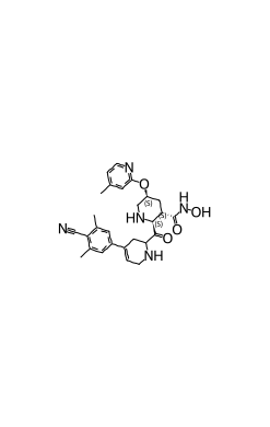 Cc1ccnc(O[C@@H]2CN[C@H](C(=O)C3CC(c4cc(C)c(C#N)c(C)c4)=CCN3)[C@@H](C(=O)NO)C2)c1